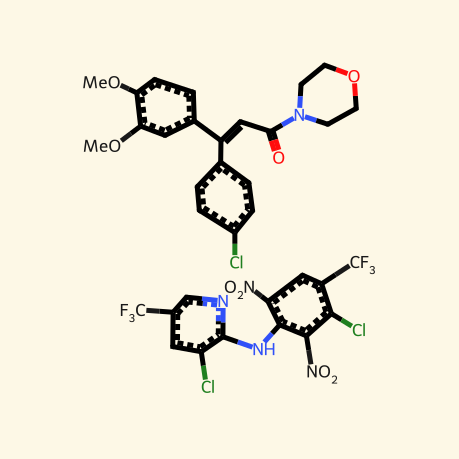 COc1ccc(/C(=C/C(=O)N2CCOCC2)c2ccc(Cl)cc2)cc1OC.O=[N+]([O-])c1cc(C(F)(F)F)c(Cl)c([N+](=O)[O-])c1Nc1ncc(C(F)(F)F)cc1Cl